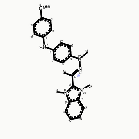 COc1ccc(Nc2ccc(N(C)/N=C(\C)c3n(C)c4ccccc4[n+]3C)cc2)cc1